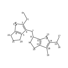 CCc1sc2c(c1CC1CCc3c1sc(C(C)C)c3C)CCC2